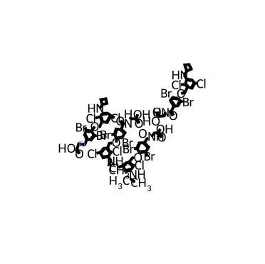 CC(C)Nc1cc(Cl)cc(COc2c(Br)cc(C(=O)NCC(=O)O)cc2Br)c1Cl.CCNc1cc(Cl)cc(COc2c(Br)cc(C(=O)NCC(=O)O)cc2Br)c1Cl.O=C(O)/C=C/c1cc(Br)c(OCc2cc(Cl)cc(NC3CCC3)c2Cl)c(Br)c1.O=C(O)CNC(=O)c1cc(Br)c(OCc2cc(Cl)cc(NC3CCC3)c2Cl)c(Br)c1